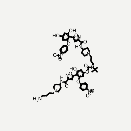 CC(C)(C)N(CCCN1CCC(NC(=O)c2cc(-c3c(O)cc(O)cc3Oc3ccc([N+](=O)[O-])cc3)on2)CC1)C(=O)Oc1cc(O)c(-c2cc(C(=O)NC3CCN(CCCCN)CC3)no2)c(Oc2ccc([N+](=O)[O-])cc2)c1